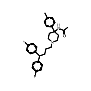 CC(=O)NC1(c2ccc(C)cc2)CCN(CCCC(c2ccc(F)cc2)c2ccc(F)cc2)CC1